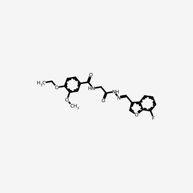 CCOc1ccc(C(=O)NCC(=O)N/N=C/c2coc3c(F)cccc23)cc1OC